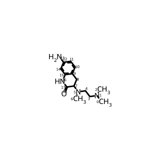 CN(C)CCN(C)C1Cc2ccc(N)cc2NC1=O